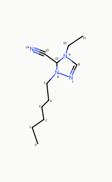 CCCCCCN1N=CN(CC)C1C#N